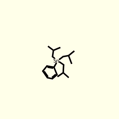 CC(C)[CH2][Sn]([CH2]C(C)C)([CH2]C(C)C)[c]1ccccc1